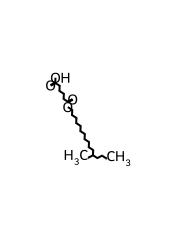 CCCCC(CC)CCCCCCCCCCCOC(=O)CCCCC(=O)O